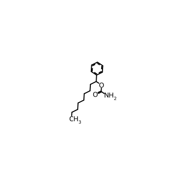 CCCCCCCCC(OC(N)=O)c1ccccc1